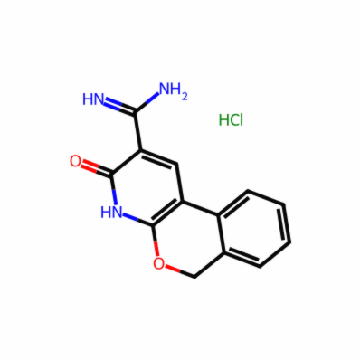 Cl.N=C(N)c1cc2c([nH]c1=O)OCc1ccccc1-2